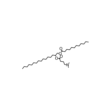 CCCCCCCCCCCCCCC(COC(=O)CCCCCCCCCCC)OC(=O)CCCN(C)C